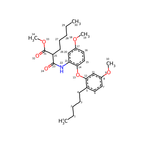 CCCCCc1ccc(OC)cc1Oc1ccc(OC)cc1NC(=O)C(CCCCC)C(=O)OC